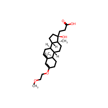 COCCOC1=CC2=CC[C@@H]3[C@H](CC[C@@]4(C)[C@H]3CC[C@]4(O)CCC(=O)O)[C@@]2(C)CC1